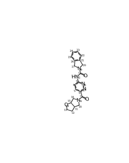 O=C(Nc1ccc(C(=O)N2CC3CCOC3C2)nn1)N1Cc2ccccc2C1